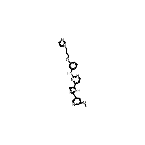 COc1cncc(-c2ncc(-c3ccnc(Nc4cccc(OCCCn5ccnc5)c4)n3)[nH]2)c1